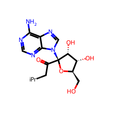 CC(C)CC(=O)[C@@]1(n2cnc3c(N)ncnc32)O[C@H](CO)[C@@H](O)[C@H]1O